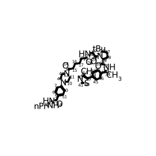 CCCNNC(=O)c1ccc(N2CCN(C(=O)CCCCC(=O)N[C@H](C(=O)N3CCC[C@H]3C(=O)N[C@@H](C)c3ccc(-c4scnc4C)cc3)C(C)(C)C)CC2)cc1